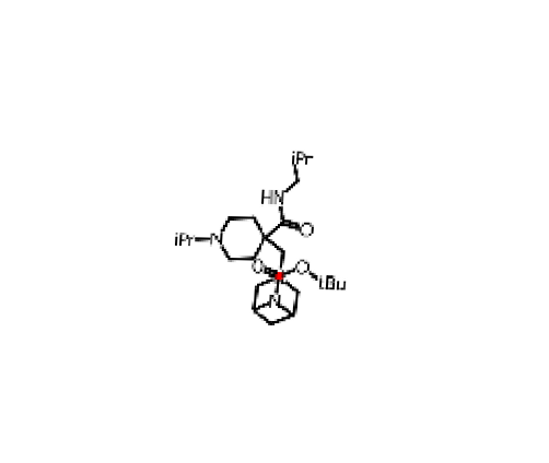 CC(C)CNC(=O)C1(CN2CC3CC(C2)N3C(=O)OC(C)(C)C)CCN(C(C)C)CC1